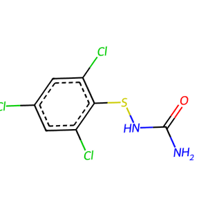 NC(=O)NSc1c(Cl)cc(Cl)cc1Cl